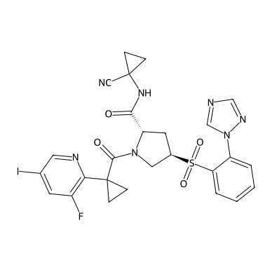 N#CC1(NC(=O)[C@@H]2C[C@@H](S(=O)(=O)c3ccccc3-n3cncn3)CN2C(=O)C2(c3ncc(I)cc3F)CC2)CC1